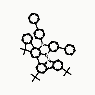 CC(C)(C)c1ccc2c(c1)c1cc(C(C)(C)C)cc3c1n2B1c2cc(-c4ccccc4)ccc2N(c2ccc(-c4ccccc4)cc2)c2c1c-3cc1c2-c2ccccc2C1(C)C